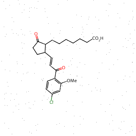 COc1cc(Cl)ccc1C(=O)C=CC1CCC(=O)C1CCCCCCC(=O)O